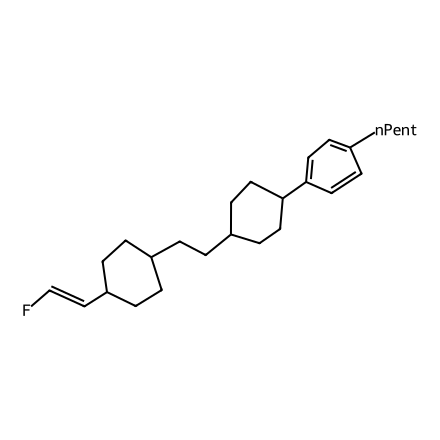 CCCCCc1ccc(C2CCC(CCC3CCC(C=CF)CC3)CC2)cc1